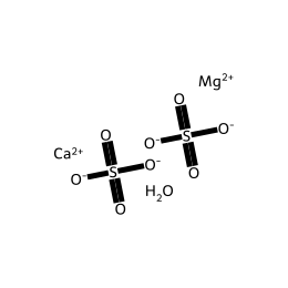 O.O=S(=O)([O-])[O-].O=S(=O)([O-])[O-].[Ca+2].[Mg+2]